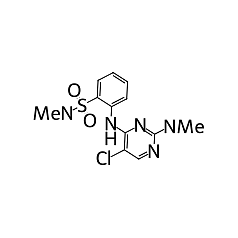 CNc1ncc(Cl)c(Nc2ccccc2S(=O)(=O)NC)n1